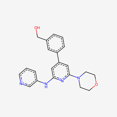 OCc1cccc(-c2cc(Nc3cccnc3)nc(N3CCOCC3)c2)c1